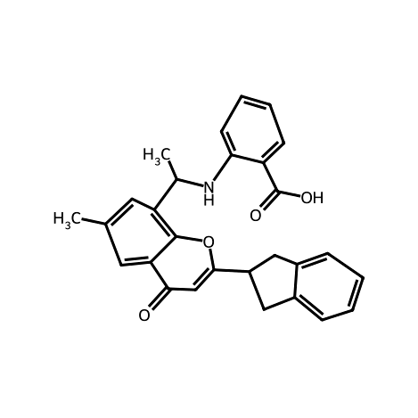 Cc1cc(C(C)Nc2ccccc2C(=O)O)c2oc(C3Cc4ccccc4C3)cc(=O)c2c1